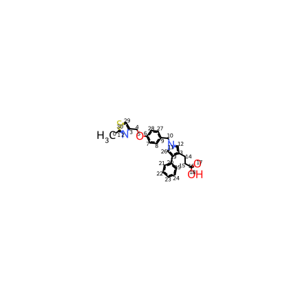 Cc1nc(COc2ccc(Cn3cc(CCC(=O)O)c(-c4ccccc4)c3)cc2)cs1